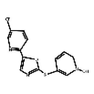 ON1C=C(Nc2ncc(-c3ccc(C(F)(F)F)cn3)o2)C=CC1